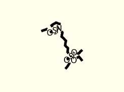 CCO[Si](CCCCCCN1CCC[Si]1(C)OCC)(OCC)OCC